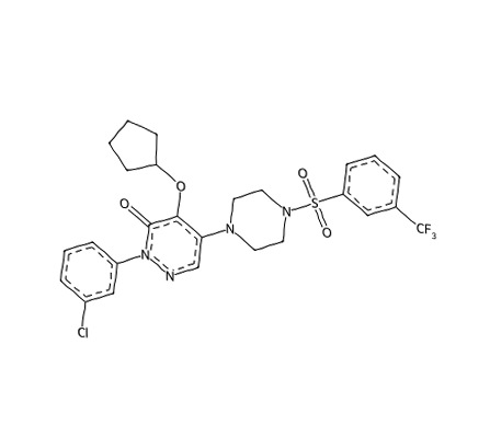 O=c1c(OC2CCCC2)c(N2CCN(S(=O)(=O)c3cccc(C(F)(F)F)c3)CC2)cnn1-c1cccc(Cl)c1